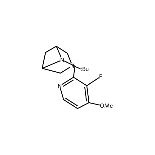 COc1ccnc(CN2C3CC2CN(C(C)(C)C)C3)c1F